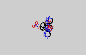 O=[N+]([O-])OC12CC3C(C4([N+](=O)[O-])C=CC=NN=N4)C(C1)C(C1([N+](=O)[O-])C=CC=NN=N1)C(C2)C3C1([N+](=O)[O-])C=CC=NN=N1